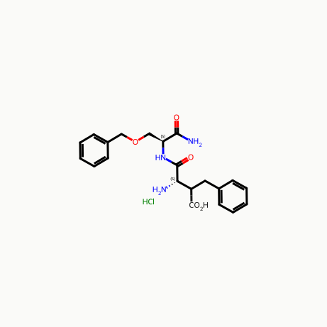 Cl.NC(=O)[C@H](COCc1ccccc1)NC(=O)[C@@H](N)C(Cc1ccccc1)C(=O)O